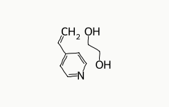 C=Cc1ccncc1.OCCO